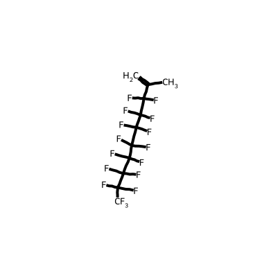 C=C(C)C(F)(F)C(F)(F)C(F)(F)C(F)(F)C(F)(F)C(F)(F)C(F)(F)C(F)(F)F